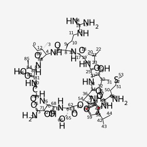 CC[C@H](C)C1NC(=O)[C@@H](CCCNC(=N)N)NC(=O)[C@H](CC(C)C)NC(=O)[C@H]([C@H](O)C(C)C)NC(=O)[C@@H](NC(=O)[C@H](CC(C)C)NC(=O)[C@H](N)CCSC)[C@@H](c2ccccc2)OC(=O)[C@H](CO)NC(=O)[C@H]([C@H](O)C(N)=O)NC(=O)CNC(=O)C([C@H](C)O)NC1=O